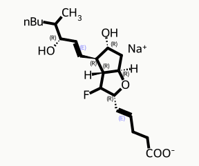 CCCCC(C)[C@@H](O)/C=C/[C@@H]1[C@H]2C(F)[C@@H](/C=C/CCC(=O)[O-])O[C@@H]2C[C@H]1O.[Na+]